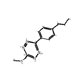 CCCc1ccc(-c2nnc(SC)nn2)cc1